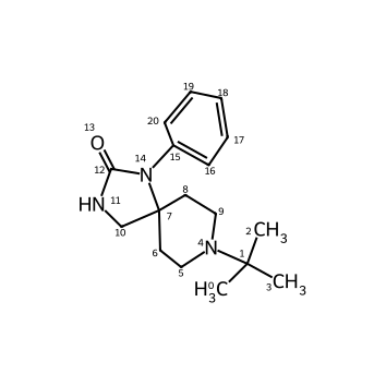 CC(C)(C)N1CCC2(CC1)CNC(=O)N2c1ccccc1